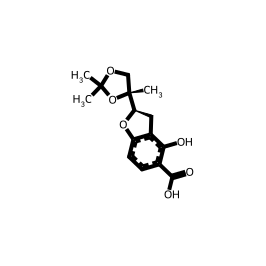 CC1(C)OC[C@](C)([C@H]2Cc3c(ccc(C(=O)O)c3O)O2)O1